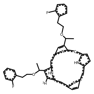 [2H]c1c(C(C)OCCc2ccccc2F)c2cc3nc(cc4ccc(cc5nc(cc1[nH]2)C=C5)[nH]4)C(C(C)OCCc1ccccc1F)=C3